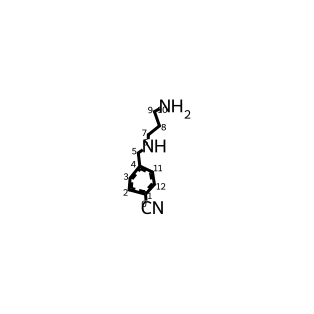 N#Cc1ccc(CNCCCN)cc1